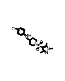 Cc1nn(C)c(C)c1S(=O)(=O)N1CCC(CNc2ccc(Cl)cc2)CC1